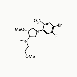 COCCN(C)[C@@H]1CN(c2cc(F)c(Br)cc2[N+](=O)[O-])C[C@H]1OC